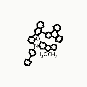 CC1(C)c2ccccc2-c2ccc(N(c3ccc(-c4ccccc4)cc3)c3cccc4c3oc3c(-c5ccc6c7ccccc7c7ccccc7c6c5)c5ccccc5cc34)cc21